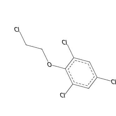 ClCCOc1c(Cl)cc(Cl)cc1Cl